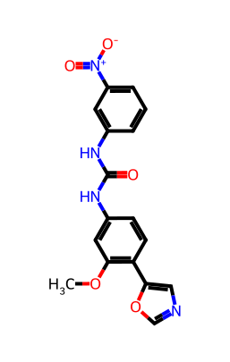 COc1cc(NC(=O)Nc2cccc([N+](=O)[O-])c2)ccc1-c1cnco1